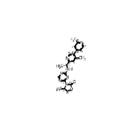 Cc1cc([C@H](C)Nc2ncnc(N3C(=O)OCC3C(C)C)n2)ncc1-c1ccnc(C(F)(F)F)c1